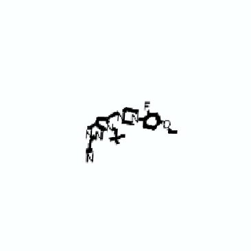 CCOc1ccc(N2CCN(Cc3cc4cnc(C#N)nc4n3CC(C)(C)C)CC2)c(F)c1